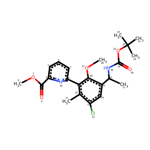 COC(=O)c1cccc(-c2c(C)c(Cl)cc(C(C)NC(=O)OC(C)(C)C)c2OC)n1